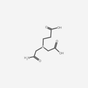 NC(=O)CN(CCC(=O)O)CC(=O)O